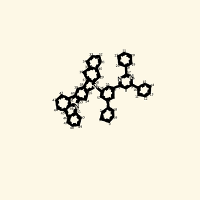 c1ccc(-c2cc(-c3cc(-c4ccccc4)nc(-c4ccccc4)n3)cc(-n3c4cc5ccccc5cc4c4cc5c6cccc7c8ccccc8n(c5cc43)c76)c2)cc1